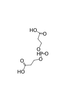 O=C(O)CCO[PH](=O)OCCC(=O)O